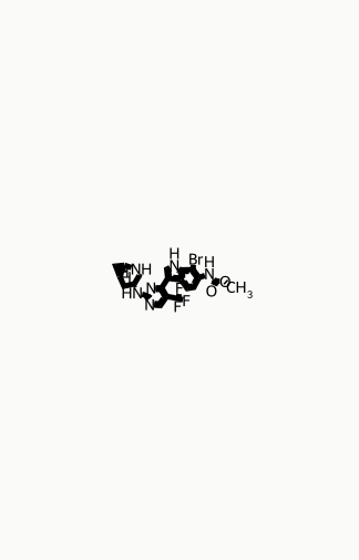 COC(=O)Nc1ccc2c(-c3nc(N[C@@H]4CN[C@@H]5C[C@@H]5C4)ncc3C(F)(F)F)c[nH]c2c1Br